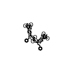 Cn1c(N2CCN(C(CCc3ccccc3)COC(=O)C(=O)OCC(CCc3ccccc3)N3CCN(c4cc(=O)n(C)c(=O)n4C)CC3)CC2)cc(=O)n(C)c1=O